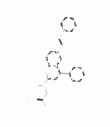 C=C(CCC)CN(C)c1cc(-c2ccccc2)c2cc(/C=C/c3ccccc3)ccc2n1